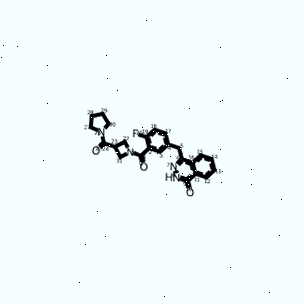 O=C(c1cc(Cc2n[nH]c(=O)c3ccccc23)ccc1F)N1CC(C(=O)N2CCCC2)C1